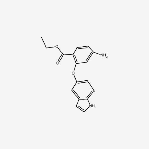 CCOC(=O)c1ccc(N)cc1Oc1cnc2[nH]ccc2c1